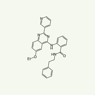 CCOc1ccc2nc(-c3cccnc3)nc(Nc3ccccc3C(=O)NCCc3ccccc3)c2c1